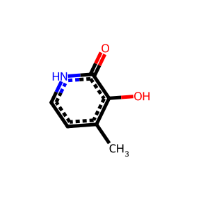 Cc1cc[nH]c(=O)c1O